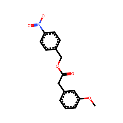 COc1cccc([CH]C(=O)OCc2ccc([N+](=O)[O-])cc2)c1